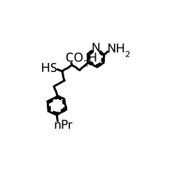 CCCc1ccc(CCC(S)C(Cc2ccc(N)nc2)C(=O)O)cc1